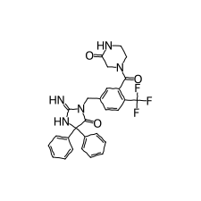 N=C1NC(c2ccccc2)(c2ccccc2)C(=O)N1Cc1ccc(C(F)(F)F)c(C(=O)N2CCNC(=O)C2)c1